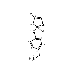 CC1=CSC(C)(Oc2ccc(CN)cc2)C1